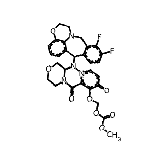 COC(=O)OCOc1c2n(ccc1=O)N(C1c3ccc(F)c(F)c3CN3CCOc4cccc1c43)C1COCCN1C2=O